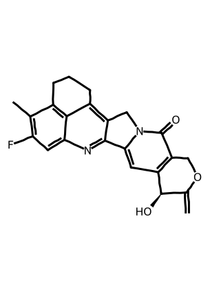 C=C1OCc2c(cc3n(c2=O)Cc2c-3nc3cc(F)c(C)c4c3c2CCC4)[C@@H]1O